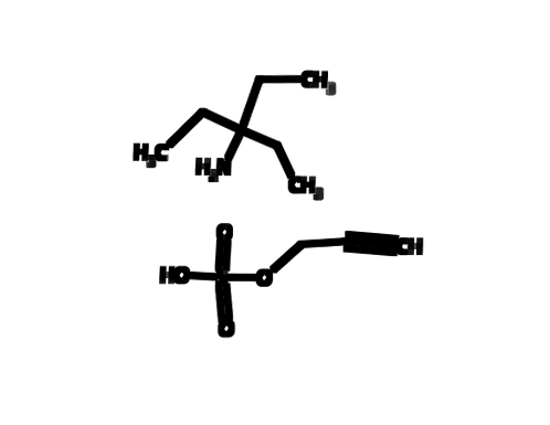 C#CCOS(=O)(=O)O.CCC(N)(CC)CC